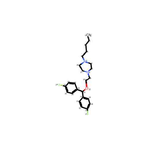 N#CCCCCN1CCN(CCOC(c2ccc(F)cc2)c2ccc(F)cc2)CC1